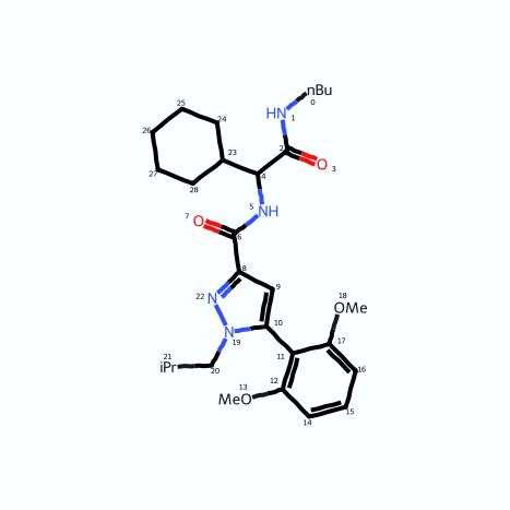 CCCCNC(=O)C(NC(=O)c1cc(-c2c(OC)cccc2OC)n(CC(C)C)n1)C1CCCCC1